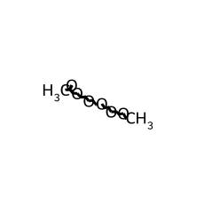 CCOCCOCCOCCOCCOCC(C)=O